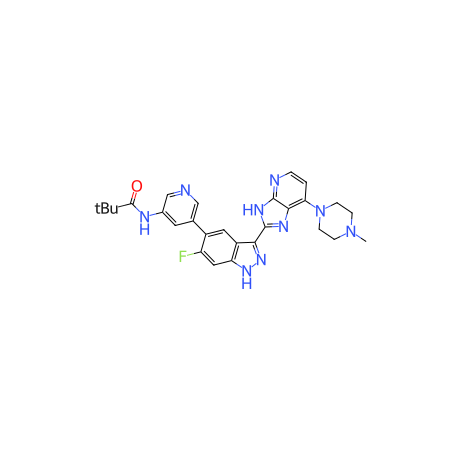 CN1CCN(c2ccnc3[nH]c(-c4n[nH]c5cc(F)c(-c6cncc(NC(=O)C(C)(C)C)c6)cc45)nc23)CC1